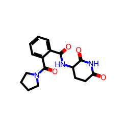 O=C1CCC(NC(=O)c2ccccc2C(=O)N2CCCC2)C(=O)N1